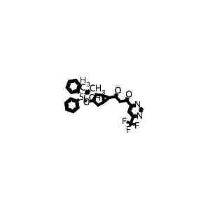 CC(C)(C)[Si](OC1CC2C(C1)C2C(=O)CC(=O)c1cc(C(F)(F)F)ncn1)(c1ccccc1)c1ccccc1